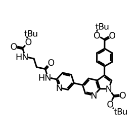 CC(C)(C)OC(=O)NCCC(=O)Nc1ccc(-c2cnc3c(c2)c(-c2ccc(C(=O)OC(C)(C)C)cc2)cn3C(=O)OC(C)(C)C)cn1